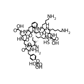 CC[C@H](C)[C@H](N)C(=O)N[C@@H](Cc1ccc(OP(=O)(O)O)cc1)C(=O)NCC(=O)N[C@@H](CCC(=O)O)C(=O)N[C@@H](Cc1ccccc1)C(=O)N[C@@H](CCCCN)C(=O)N[C@@H](CCCCN)C(=O)N[C@@H](CCCCN)C(=O)N[C@@H](CS)C(=O)O